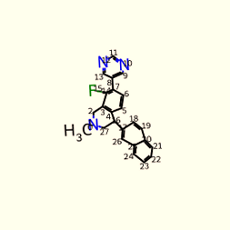 CN1Cc2c(ccc(-c3cncnc3)c2F)C(c2ccc3ccccc3c2)C1